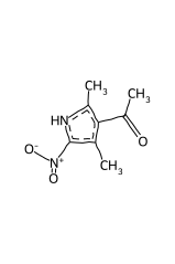 CC(=O)c1c(C)[nH]c([N+](=O)[O-])c1C